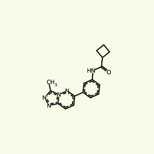 Cc1nnc2ccc(-c3cccc(NC(=O)C4CCC4)c3)nn12